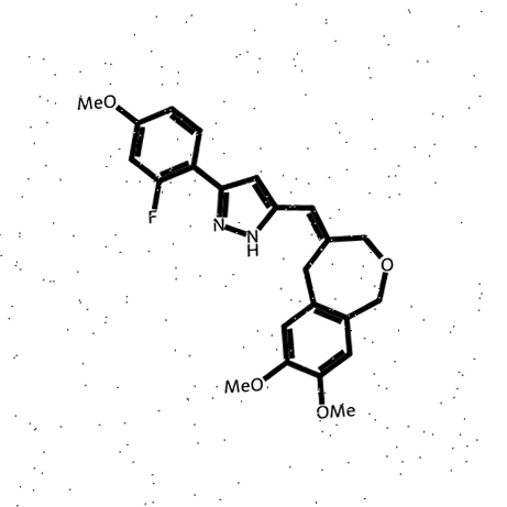 COc1ccc(-c2cc(/C=C3/COCc4cc(OC)c(OC)cc4C3)[nH]n2)c(F)c1